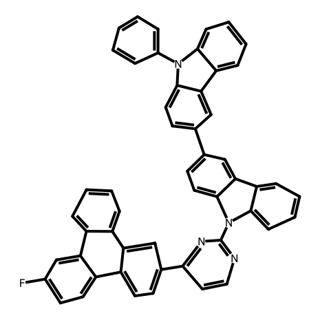 Fc1ccc2c3ccc(-c4ccnc(-n5c6ccccc6c6cc(-c7ccc8c(c7)c7ccccc7n8-c7ccccc7)ccc65)n4)cc3c3ccccc3c2c1